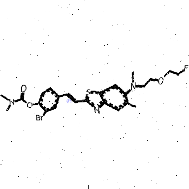 Cc1cc2nc(/C=C/c3ccc(OC(=O)N(C)C)c(Br)c3)sc2cc1N(C)CCOCCF